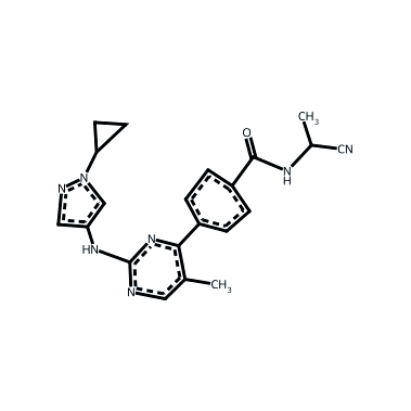 Cc1cnc(Nc2cnn(C3CC3)c2)nc1-c1ccc(C(=O)NC(C)C#N)cc1